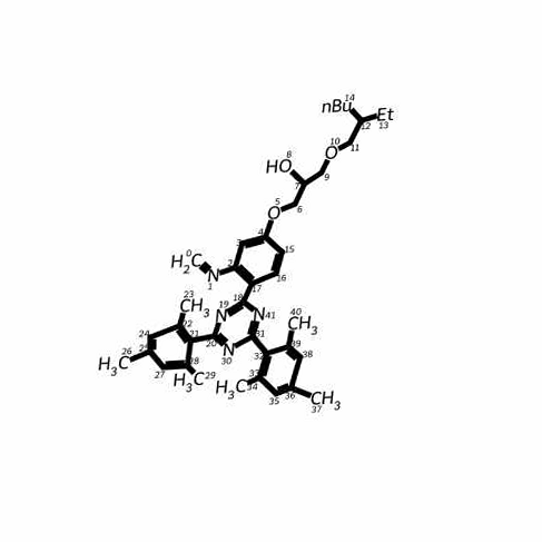 C=Nc1cc(OCC(O)COCC(CC)CCCC)ccc1-c1nc(-c2c(C)cc(C)cc2C)nc(-c2c(C)cc(C)cc2C)n1